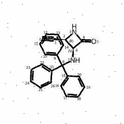 C#C[C@H]1NC(=O)[C@H]1NC(c1ccccc1)(c1ccccc1)c1ccccc1